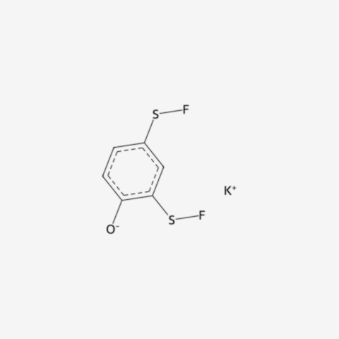 [K+].[O-]c1ccc(SF)cc1SF